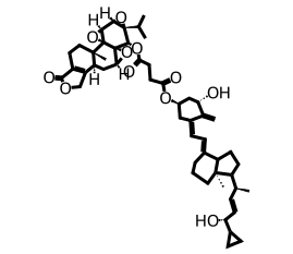 C=C1/C(=C\C=C2/CCC[C@@]3(C)C2CCC3[C@@H](C)/C=C/[C@@H](O)C2CC2)C[C@@H](OC(=O)CCC(=O)O[C@@H]2[C@@]3(C(C)C)O[C@H]3[C@@H]3O[C@]34[C@]23O[C@H]3C[C@H]2C3=C(CC[C@@]24C)C(=O)OC3)C[C@@H]1O